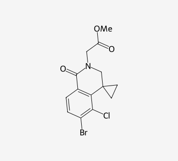 COC(=O)CN1CC2(CC2)c2c(ccc(Br)c2Cl)C1=O